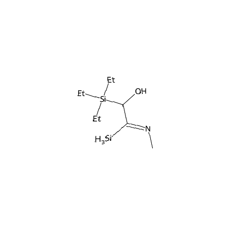 CC[Si](CC)(CC)C(O)C([SiH3])=NC